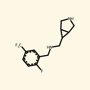 Fc1ccc(C(F)(F)F)cc1CNCC1C2CNCC12